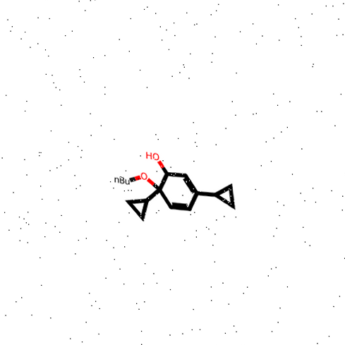 CCCCOC1(C2CC2)C=CC(C2CC2)=CC1O